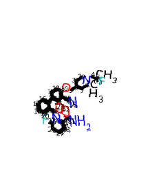 CC(C)(F)CN1CCC(COc2ccc(-c3cccc(F)c3C(=O)N3CCCC[C@@H]3C(N)=O)cc2C#N)CC1